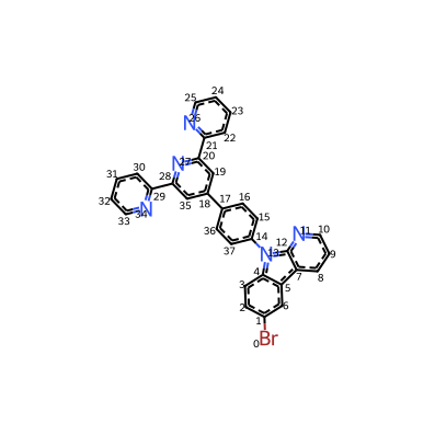 Brc1ccc2c(c1)c1cccnc1n2-c1ccc(-c2cc(-c3ccccn3)nc(-c3ccccn3)c2)cc1